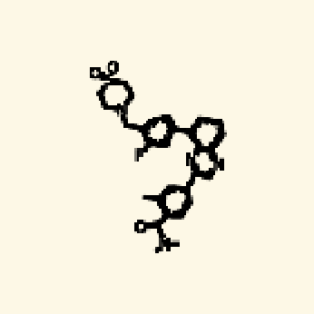 Cc1cc(-c2cnc3cccc(-c4ccc(CN5CCS(=O)(=O)CC5)c(F)c4)c3n2)ccc1C(=O)N(C)C